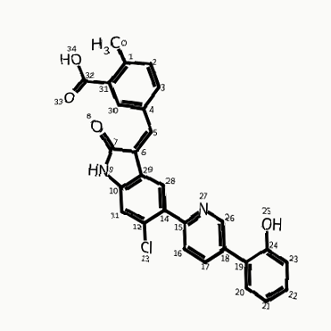 Cc1ccc(C=C2C(=O)Nc3cc(Cl)c(-c4ccc(-c5ccccc5O)cn4)cc32)cc1C(=O)O